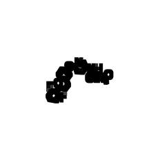 CC(=O)NCC(=O)Nc1ccc(Oc2ccc3c(c2)CCC(c2c(F)cccc2F)O3)nc1